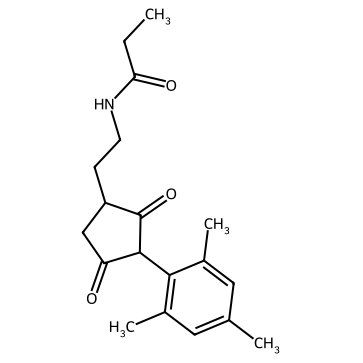 CCC(=O)NCCC1CC(=O)C(c2c(C)cc(C)cc2C)C1=O